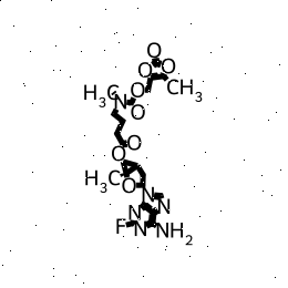 Cc1oc(=O)oc1COC(=O)N(C)CCCC(=O)OC1C2C[C@H](n3cnc4c(N)nc(F)nc43)O[C@@]21C